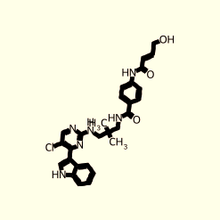 CC(C)(CNC(=O)c1ccc(NC(=O)/C=C/CO)cc1)CNc1ncc(Cl)c(-c2c[nH]c3ccccc23)n1